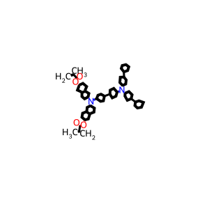 C=C(C)C(=O)Oc1ccc2cc(N(c3ccc(-c4ccc(N(c5ccc(-c6ccccc6)cc5)c5ccc(-c6ccccc6)cc5)cc4)cc3)c3ccc4cc(OC(=O)C(=C)C)ccc4c3)ccc2c1